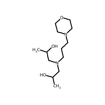 CC(O)CN(CCCN1CCOCC1)CC(C)O